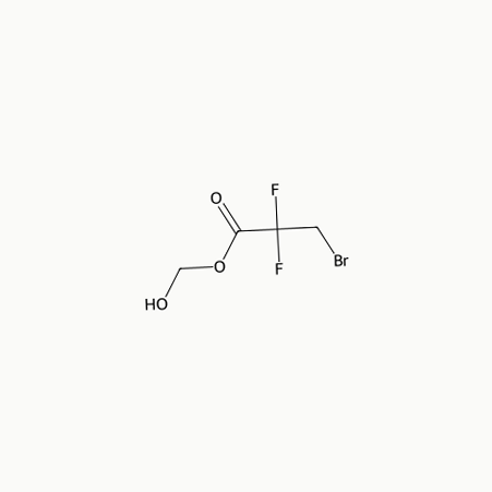 O=C(OCO)C(F)(F)CBr